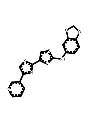 c1cncc(-c2csc(-c3csc(Nc4ccc5c(c4)OCO5)n3)n2)c1